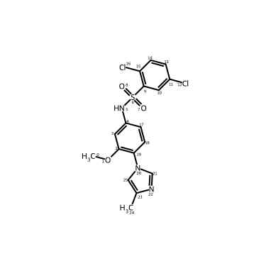 COc1cc(NS(=O)(=O)c2cc(Cl)ccc2Cl)ccc1-n1cnc(C)c1